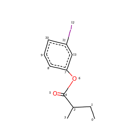 CCC(C)C(=O)Oc1cccc(I)c1